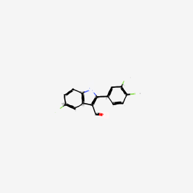 O=Cc1c(-c2ccc(F)c(F)c2)[nH]c2ccc(F)cc12